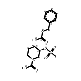 CS(=O)(=O)O[C@H]1CN(C(=O)O)CC[C@@H]1NC(=O)OCc1ccccc1